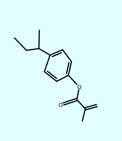 C=C(C)C(=O)Oc1ccc(C(C)CC)cc1